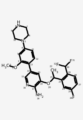 COc1cc(N2CCNCC2)ccc1-c1cnc(N)c(OC(C)c2cc(F)ccc2C(F)F)c1